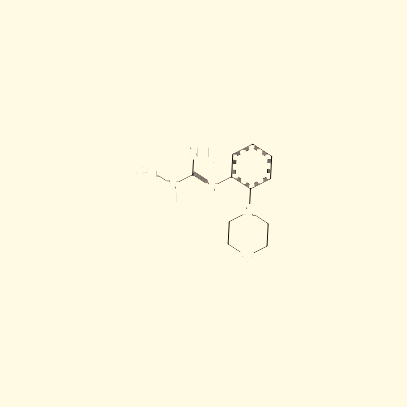 CC(C)(C)N/C(N)=N/c1ccccc1N1CCOCC1